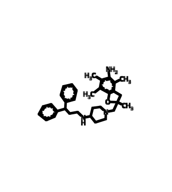 Cc1c(C)c2c(c(C)c1N)CC(C)(CN1CCC(NCCC(c3ccccc3)c3ccccc3)CC1)O2